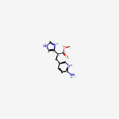 COC(=O)C(Cc1ccc(N)nc1)c1c[nH]cn1